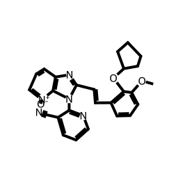 COc1cccc(C=Cc2nc3ccc[n+]([O-])c3n2-c2ncccc2C#N)c1OC1CCCC1